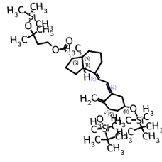 C=C1/C(=C\C=C2/CCC[C@]3(C)[C@@H](C(=O)OCCC(C)(C)O[Si](C)(C)C)CC[C@@H]23)C[C@@H](O[Si](C)(C)C(C)(C)C)C[C@@H]1O[Si](C)(C)C(C)(C)C